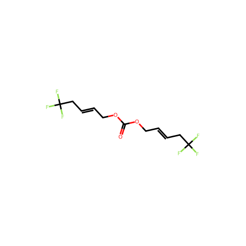 O=C(OCC=CCC(F)(F)F)OCC=CCC(F)(F)F